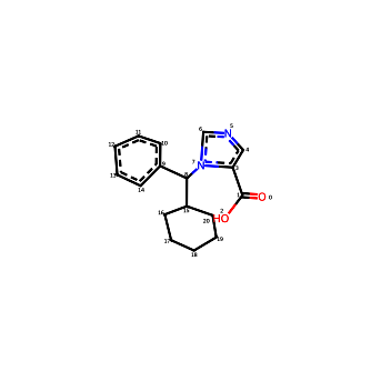 O=C(O)c1cncn1C(c1ccccc1)C1CCCCC1